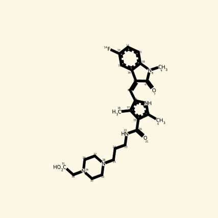 Cc1[nH]c(/C=C2\C(=O)N(C)c3ccc(F)cc32)c(C)c1C(=O)NCCCN1CCN(CC(=O)O)CC1